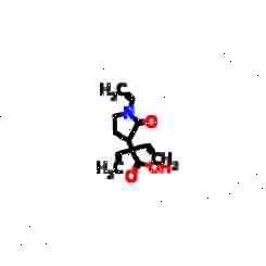 C=CN1CCC(C(C=C)(C=C)C(=O)O)C1=O